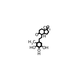 Cc1c(CCC2C(=O)CC[C@]3(C)C(=O)CC[C@@H]23)cc(O)c(O)c1O